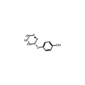 Oc1ccc(Op2np[nH][pH][nH]2)cc1